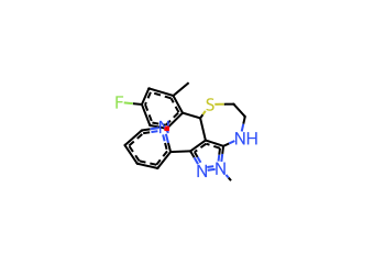 Cc1cc(F)ccc1C1SCCNc2c1c(-c1ccccn1)nn2C